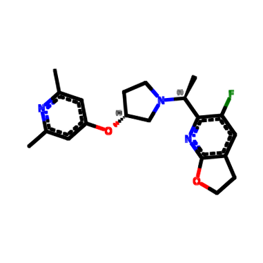 Cc1cc(O[C@@H]2CCN([C@@H](C)c3nc4c(cc3F)CCO4)C2)cc(C)n1